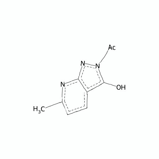 CC(=O)n1nc2nc(C)ccc2c1O